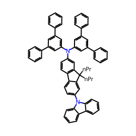 CCCC1(CCC)c2cc(N(c3cc(-c4ccccc4)cc(-c4ccccc4)c3)c3cc(-c4ccccc4)cc(-c4ccccc4)c3)ccc2-c2ccc(-n3c4ccccc4c4ccccc43)cc21